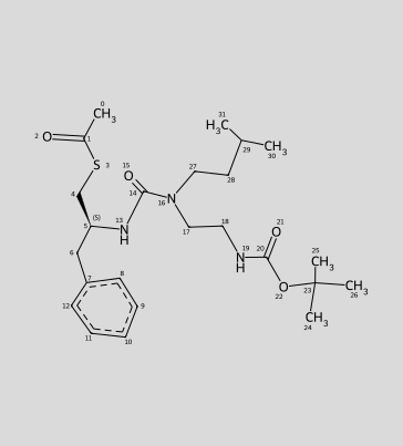 CC(=O)SC[C@H](Cc1ccccc1)NC(=O)N(CCNC(=O)OC(C)(C)C)CCC(C)C